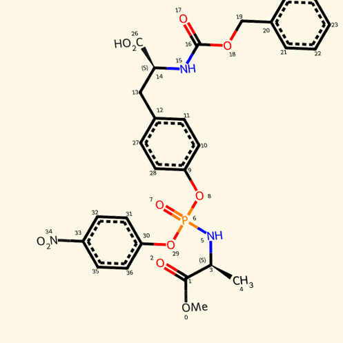 COC(=O)[C@H](C)NP(=O)(Oc1ccc(C[C@H](NC(=O)OCc2ccccc2)C(=O)O)cc1)Oc1ccc([N+](=O)[O-])cc1